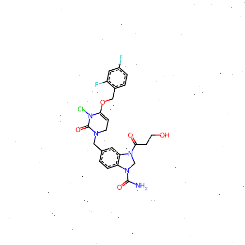 NC(=O)N1CN(C(=O)CCO)c2cc(CN3CC=C(OCc4ccc(F)cc4F)N(Cl)C3=O)ccc21